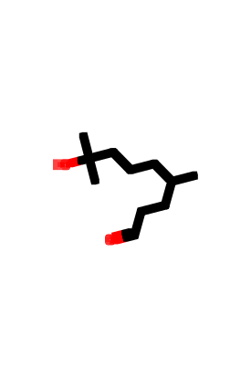 CC(CCC=O)CCCC(C)(C)O